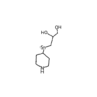 OCC(O)[CH2][Sn][CH]1CCNCC1